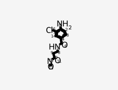 Nc1ccc(C(=O)NCCC(=O)N=O)cc1Cl